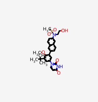 COc1c(-c2ccc3cc(N(CCO)S(C)(=O)=O)ccc3c2)cc(-n2ccc(=O)[nH]c2=O)cc1C(C)(C)C